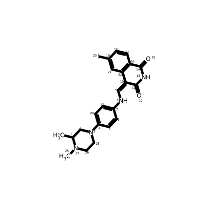 CC1CN(c2ccc(N/C=C3\C(=O)NC(=O)c4ccc(I)cc43)cc2)CCN1C